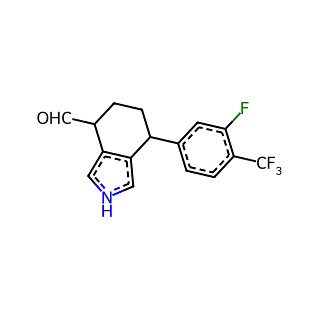 O=CC1CCC(c2ccc(C(F)(F)F)c(F)c2)c2c[nH]cc21